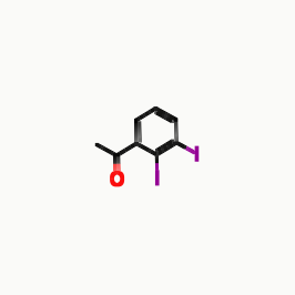 CC(=O)c1cccc(I)c1I